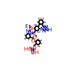 CCOc1nc2cccc(C(=O)Oc3ccccc3CON(O)O)c2n1Cc1ccc(-c2ccccc2-c2nn[nH]n2)cc1